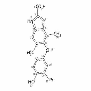 Cc1cc2[nH]c(C(=O)O)cc2c(C)c1Oc1ccc(O)c(C(C)C)c1